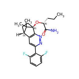 CCC[C@@H](O[C@@]12CC[C@@H](c3cc(-c4c(F)cccc4F)nnc31)C2(C)C)C(N)=O